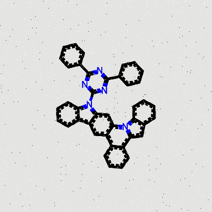 c1ccc(-c2nc(-c3ccccc3)nc(-n3c4ccccc4c4cc5c6ccccc6c6cc7ccccc7n6c5cc43)n2)cc1